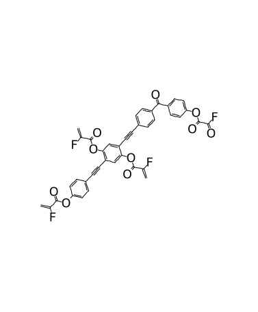 C=C(F)C(=O)Oc1ccc(C#Cc2cc(OC(=O)C(=C)F)c(C#Cc3ccc(C(=O)c4ccc(OC(=O)C(=O)F)cc4)cc3)cc2OC(=O)C(=C)F)cc1